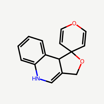 C1=CC2(C=CO1)OCC1=CNc3ccccc3C12